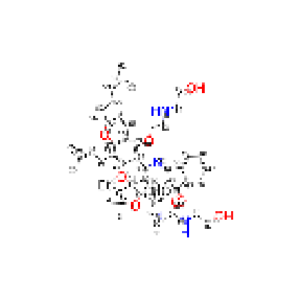 CCC1C(C)(C)OC(C=O)(C/C=C(/C)C(=O)NCCO)C12Oc1c(CC=C(C)C)c3c(c(OCCNCCO)c1C1=C2C(C)C2C(=O)c4ccccc4C2=N1)C=CC(C)(CCC=C(C)C)O3